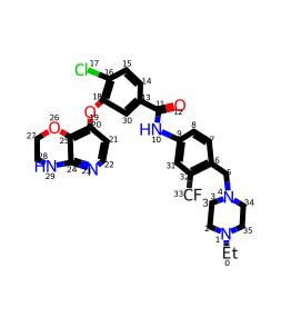 CCN1CCN(Cc2ccc(NC(=O)c3ccc(Cl)c(Oc4ccnc5c4OCCN5)c3)cc2C(F)(F)F)CC1